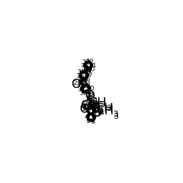 COC1c2ccccc2C(OC)(OC)C1(CCCOc1ccc(C(=O)N2CCC(N3CCCCC3)CC2)cc1)OC